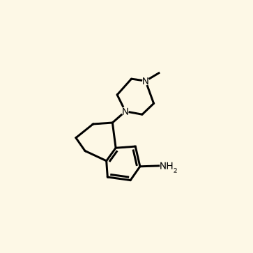 CN1CCN(C2CCCc3ccc(N)cc32)CC1